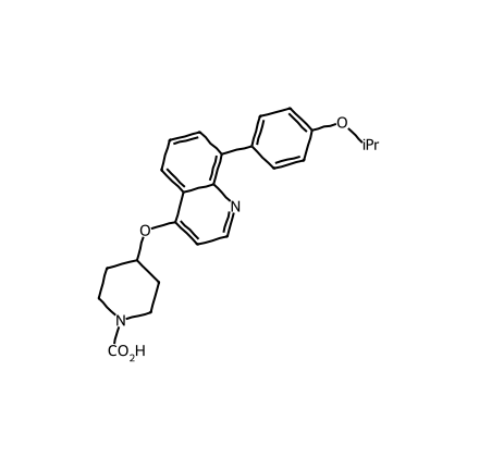 CC(C)Oc1ccc(-c2cccc3c(OC4CCN(C(=O)O)CC4)ccnc23)cc1